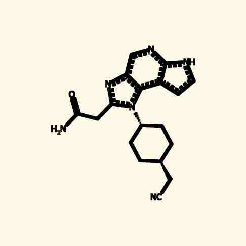 N#CC[C@H]1CC[C@H](n2c(CC(N)=O)nc3cnc4[nH]ccc4c32)CC1